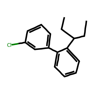 CCC(CC)c1ccccc1-c1cccc(Cl)c1